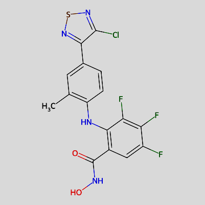 Cc1cc(-c2nsnc2Cl)ccc1Nc1c(C(=O)NO)cc(F)c(F)c1F